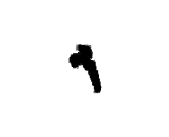 CCCCCCCCCCCCc1ccc(-c2nc(-c3ncc(C)c(CC)n3)nc(-c3ncc(C)c(CC)n3)n2)cc1